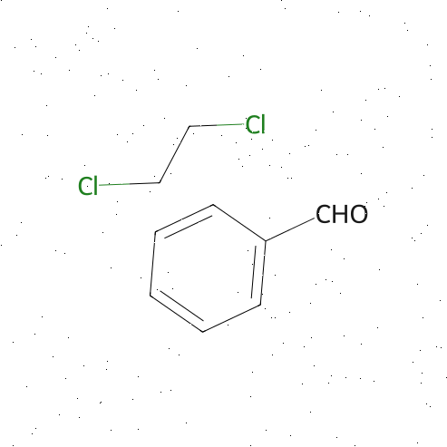 ClCCCl.O=Cc1ccccc1